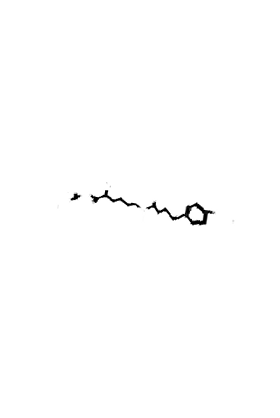 Cc1ccc(CCCC(=O)NCCCCC(N)C(=O)OC(C)(C)C)cc1